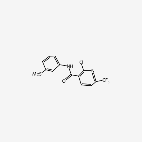 CSc1cccc(NC(=O)c2ccc(C(F)(F)F)nc2Cl)c1